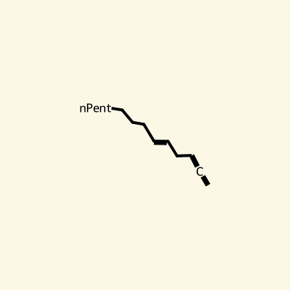 C=C=CCC=CCCCCCCCC